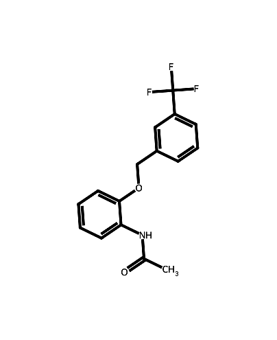 CC(=O)Nc1ccccc1OCc1cccc(C(F)(F)F)c1